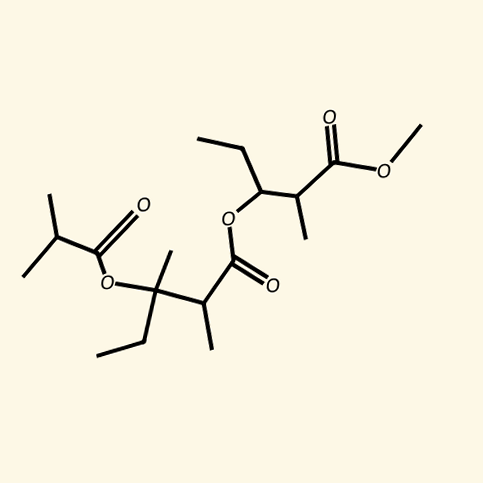 CCC(OC(=O)C(C)C(C)(CC)OC(=O)C(C)C)C(C)C(=O)OC